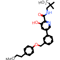 COCCc1ccc(OCc2cccc(-c3cnc(C(=O)NCC(C)(C)C(=O)O)c(O)c3)c2)cc1